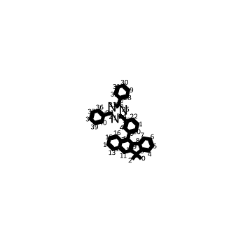 CC1(C)c2ccccc2-c2c1cc1ccccc1c2-c1cccc(-c2nc(-c3ccccc3)nc(-c3ccccc3)n2)c1